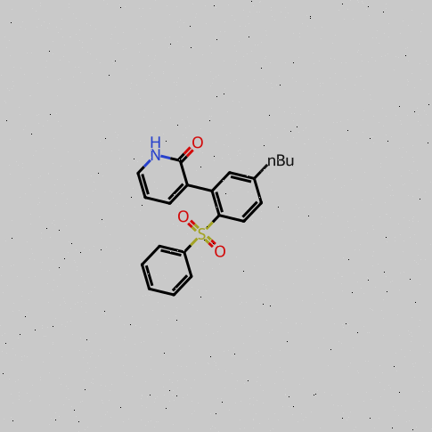 CCCCc1ccc(S(=O)(=O)c2ccccc2)c(-c2ccc[nH]c2=O)c1